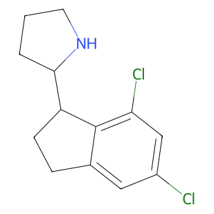 Clc1cc(Cl)c2c(c1)CCC2C1CCCN1